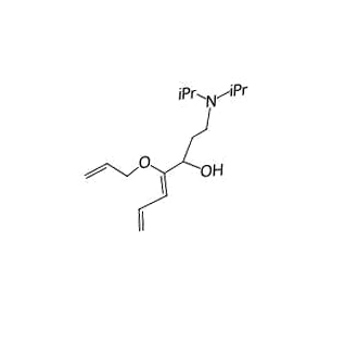 C=CC=C(OCC=C)C(O)CCN(C(C)C)C(C)C